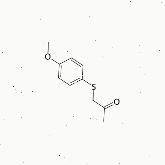 COc1ccc(SCC(C)=O)cc1